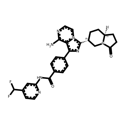 Nc1nccn2c([C@@H]3CC[C@H]4CCC(=O)N4C3)nc(-c3ccc(C(=O)Nc4cc(C(F)F)ccn4)cc3)c12